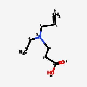 C=CCN(CC)CCC(=O)O